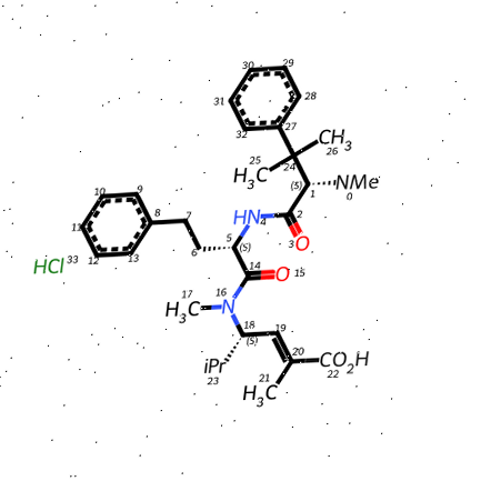 CN[C@H](C(=O)N[C@@H](CCc1ccccc1)C(=O)N(C)[C@H](C=C(C)C(=O)O)C(C)C)C(C)(C)c1ccccc1.Cl